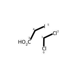 ClCCl.O=C(O)CI